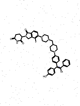 CC/C(=C(\c1ccc(O)cc1)c1ccc(N2CCC(CN3CCN(c4ccc5c(c4F)CN(C4CCC(=O)NC4=O)C5=O)CC3)CC2)cc1)c1ccccc1